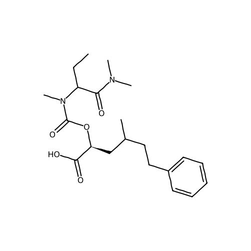 CCC(C(=O)N(C)C)N(C)C(=O)O[C@@H](CC(C)CCc1ccccc1)C(=O)O